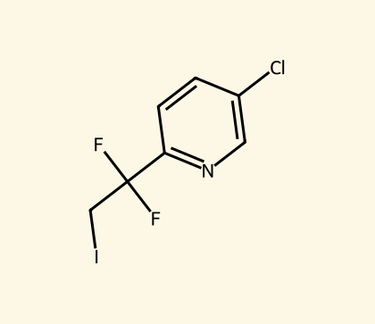 FC(F)(CI)c1ccc(Cl)cn1